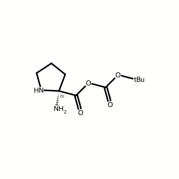 CC(C)(C)OC(=O)OC(=O)[C@]1(N)CCCN1